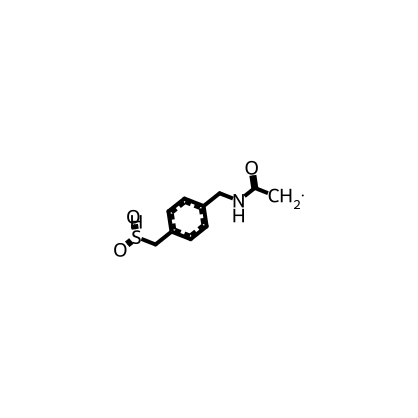 [CH2]C(=O)NCc1ccc(C[SH](=O)=O)cc1